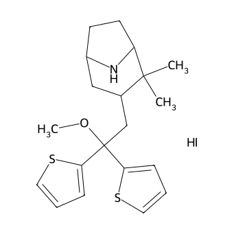 COC(CC1CC2CCC(N2)C1(C)C)(c1cccs1)c1cccs1.I